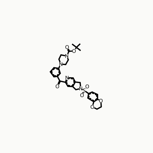 CC(C)(C)OC(=O)N1CCN(c2cccc(C(=O)c3cc4c(cn3)CN(S(=O)(=O)c3ccc5c(c3)OCCO5)C4)c2)CC1